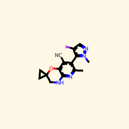 Cc1nc2c(c(C#N)c1-c1c(I)cnn1C)OC1(CC1)CN2